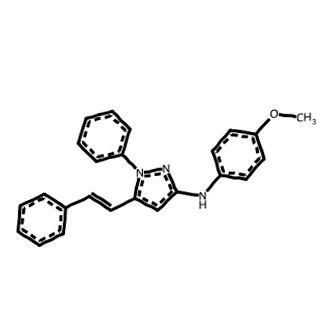 COc1ccc(Nc2cc(C=Cc3ccccc3)n(-c3ccccc3)n2)cc1